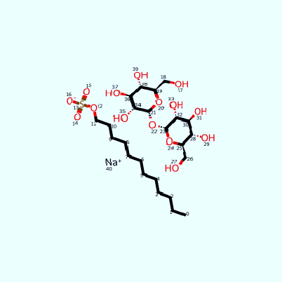 CCCCCCCCCCCCOS(=O)(=O)[O-].OC[C@H]1O[C@H](O[C@H]2O[C@H](CO)[C@@H](O)[C@H](O)[C@H]2O)[C@H](O)[C@@H](O)[C@@H]1O.[Na+]